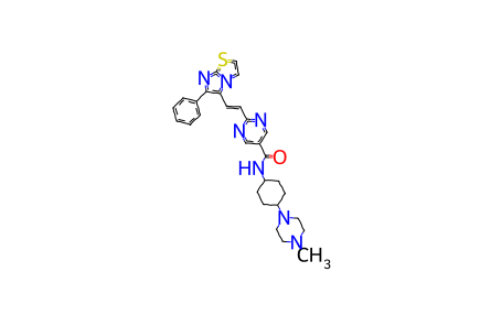 CN1CCN(C2CCC(NC(=O)c3cnc(C=Cc4c(-c5ccccc5)nc5sccn45)nc3)CC2)CC1